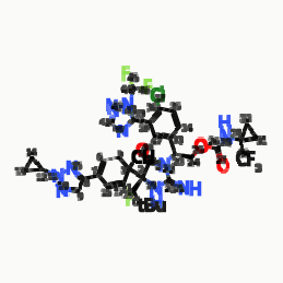 CC(C)(C)C[C@]1(C2(C)CC=C(c3cnn(C4CC4)n3)C=C2F)NC(=N)N([C@H](COC(=O)NC2(C(F)(F)F)CC2)c2ccc(Cl)c(-c3ncnn3C(F)F)c2)C1=O